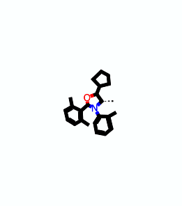 Cc1ccccc1N1C(c2c(C)cccc2C)OC(C2CCCC2)[C@@H]1C